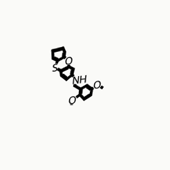 COc1ccc(OC)c(CNc2ccc3c(c2)Oc2ccccc2S3)c1